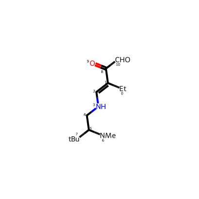 CC/C(=C\NCC(NC)C(C)(C)C)C(=O)C=O